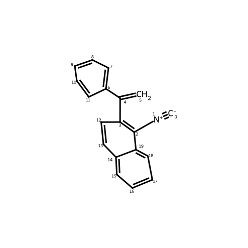 [C-]#[N+]c1c(C(=C)c2ccccc2)ccc2ccccc12